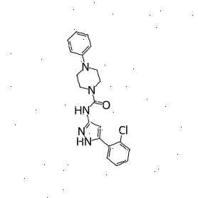 O=C(Nc1cc(-c2ccccc2Cl)[nH]n1)N1CCN(c2ccccc2)CC1